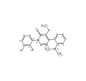 CSc1c(-c2ccccc2N(C)C)ncn(-c2cccc(F)c2F)c1=O